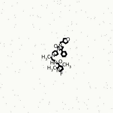 Cc1cc(F)nc(C)c1C(=O)NCCC(C)N1CCC(N2C(=O)N(CC3CCOCC3)CC2c2ccccc2)CC1